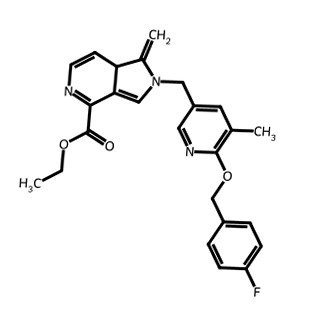 C=C1C2C=CN=C(C(=O)OCC)C2=CN1Cc1cnc(OCc2ccc(F)cc2)c(C)c1